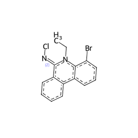 CCn1/c(=N\Cl)c2ccccc2c2cccc(Br)c21